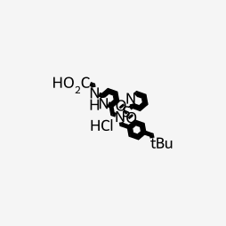 CC(C)(C)Cc1ccc(CN(Cc2cccc(NCC(=O)O)n2)S(=O)(=O)c2ccccn2)cc1.Cl